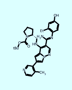 CCc1cc(O)ccc1/N=C(\N)c1cnn2cc(-c3cnccc3C)cc2c1NC[C@H]1CCCN1C(=O)OC(C)(C)C